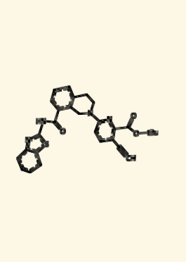 C#Cc1ccc(N2CCc3cccc(C(=O)Nc4nc5ccccc5s4)c3C2)nc1C(=O)OC(C)(C)C